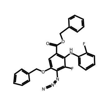 [N-]=[N+]=Nc1c(OCc2ccccc2)cc(C(=O)OCc2ccccc2)c(Nc2ccccc2F)c1F